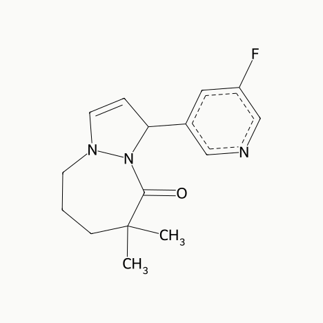 CC1(C)CCCN2C=CC(c3cncc(F)c3)N2C1=O